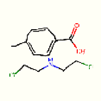 Cc1ccc(C(=O)O)cc1.ClCCNCCCl